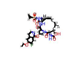 CCOc1cc2ccnc(O[C@@H]3C[C@H]4C(=O)N[C@]5(C(=O)NS(=O)(=O)C6CC6)C[C@H]5/C=C\CC[C@@H](C)C[C@@H](C)[C@H](NC(=O)O)C(=O)N4C3)c2cc1F